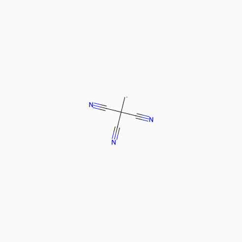 [CH2]C(C#N)(C#N)C#N